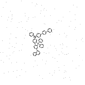 c1ccc(-c2ccc(-c3ccc(N(c4ccccc4)c4ccc5c(c4)C(c4ccccc4)(c4ccccc4)c4cc(-c6cccc7ccccc67)ccc4-5)cc3)cc2)cc1